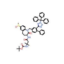 C[S+]([O-])c1ccc2c(c1)CCC(NC(=O)CC(C)(C)NC(=O)OC(C)(C)C)C(=O)N2Cc1ccc(-c2ccccc2)c(-c2nnn(C(c3ccccc3)(c3ccccc3)c3ccccc3)n2)c1